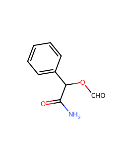 NC(=O)C(OC=O)c1ccccc1